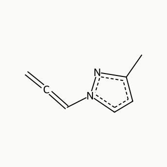 C=C=Cn1ccc(C)n1